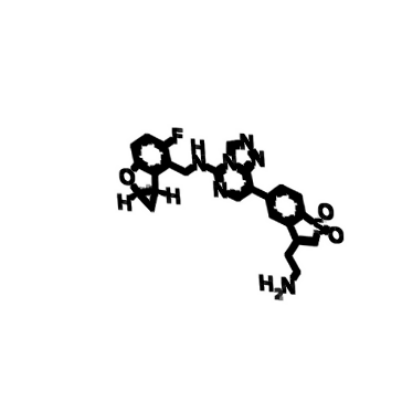 NCCC1=CS(=O)(=O)c2ccc(-c3cnc(NCc4c(F)ccc5c4[C@@H]4C[C@@H]4O5)n4cnnc34)cc21